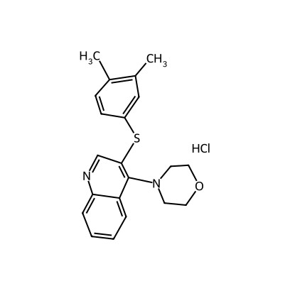 Cc1ccc(Sc2cnc3ccccc3c2N2CCOCC2)cc1C.Cl